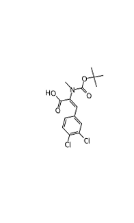 CN(C(=O)OC(C)(C)C)C(=Cc1ccc(Cl)c(Cl)c1)C(=O)O